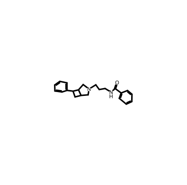 O=C(NCCCN1CC2CC(c3ccccc3)C2C1)c1ccccc1